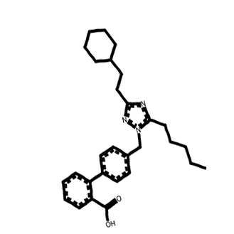 CCCCCc1nc(CCC2CCCCC2)nn1Cc1ccc(-c2ccccc2C(=O)O)cc1